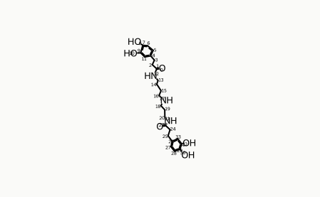 O=C(CCc1ccc(O)c(O)c1)NCCCCNCCCNC(=O)CCc1ccc(O)c(O)c1